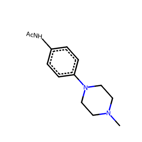 CC(=O)Nc1ccc(N2CCN(C)CC2)cc1